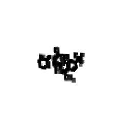 C[C@H](NC(=O)O[C@H](Cc1ncccn1)C(=O)O)c1ccc(C(F)(F)F)cc1